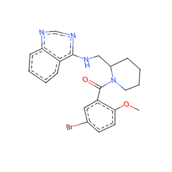 COc1ccc(Br)cc1C(=O)N1CCCCC1CNc1ncnc2ccccc12